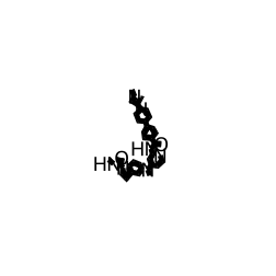 CNC(=O)n1ccc2cc(N(C)c3ccnc(NC(=O)c4ccc(C5CCN(C6CN(C)C6)CC5)cc4)c3)ccc21